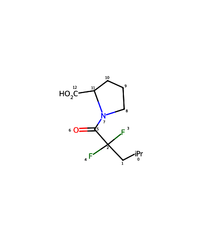 CC(C)CC(F)(F)C(=O)N1CCCC1C(=O)O